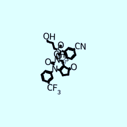 CN1C(=O)N(c2cccc(C(F)(F)F)c2)C2=C(C(=O)CC2)[C@H]1c1ccc(C#N)cc1S(=O)(=O)CCCO